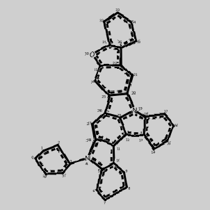 c1ccc(-n2c3ccccc3c3c4c5ccccc5n5c6cc7c(cc6c(cc32)c45)oc2ccccc27)cc1